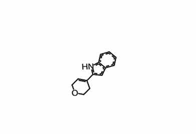 C1=C(c2cc3ccccc3[nH]2)CCOC1